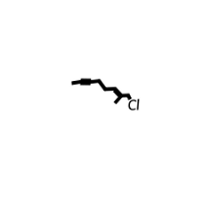 CC#CCC/C=C(\C)CCl